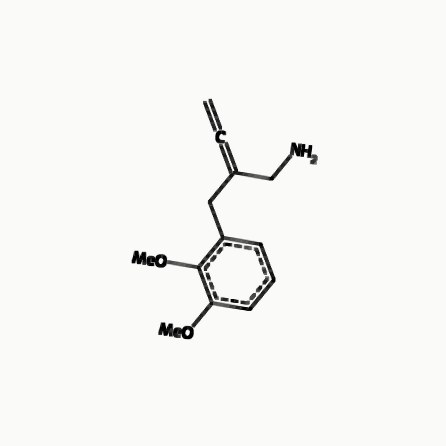 C=C=C(CN)Cc1cccc(OC)c1OC